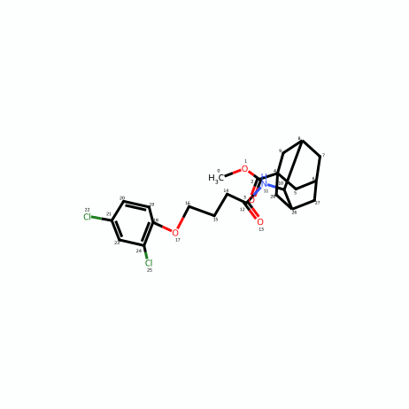 COC(=O)C12CC3CC(C1)C(NC(=O)CCCOc1ccc(Cl)cc1Cl)C(C3)C2